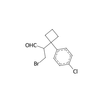 O=CC(CBr)C1(c2ccc(Cl)cc2)CCC1